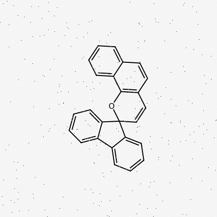 C1=CC2(Oc3c1ccc1ccccc31)c1ccccc1-c1ccccc12